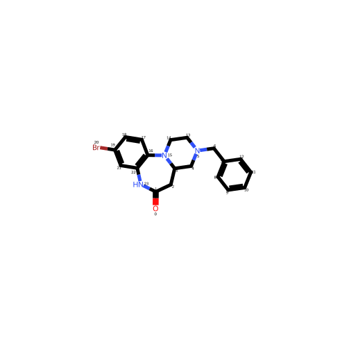 O=C1CC2CN(Cc3ccccc3)CCN2c2ccc(Br)cc2N1